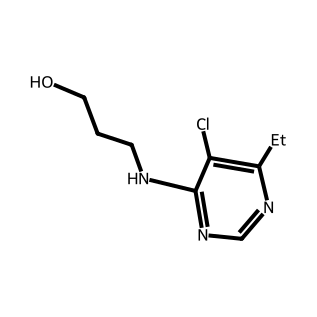 CCc1ncnc(NCCCO)c1Cl